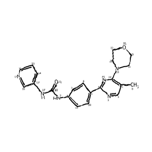 Cc1cnc(-c2ccc(NC(=O)Nc3cccnc3)cc2)nc1N1CCOCC1